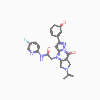 CC(C)N1Cc2c(n(CC(=O)Nc3ccc(F)cn3)c3cc(C4=CC(=O)CC=C4)nn3c2=O)C1